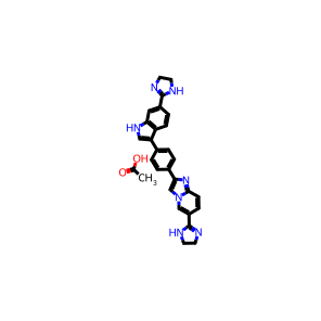 CC(=O)O.c1cc2c(-c3ccc(-c4cn5cc(C6=NCCN6)ccc5n4)cc3)c[nH]c2cc1C1=NCCN1